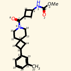 COC(=O)NC1CC(C(=O)N2CCC3(CC2)CC(c2cccc(C)c2)C3)C1